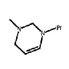 CC(C)N1C=CCN(C)C1